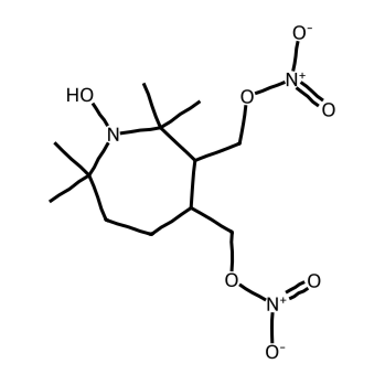 CC1(C)CCC(CO[N+](=O)[O-])C(CO[N+](=O)[O-])C(C)(C)N1O